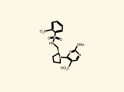 CSc1ncc(C(=O)O)c(N2CCC[C@H]2CNS(=O)(=O)c2ccccc2[N+](=O)[O-])n1